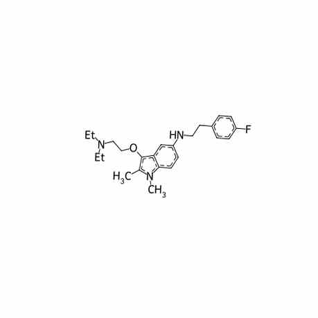 CCN(CC)CCOc1c(C)n(C)c2ccc(NCCc3ccc(F)cc3)cc12